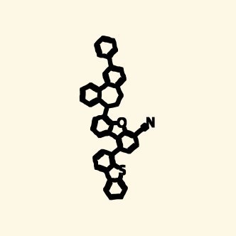 N#Cc1ccc(-c2cccc3c2sc2ccccc23)c2c1oc1c(C3CCc4ccc(-c5ccccc5)cc4-c4ccccc43)cccc12